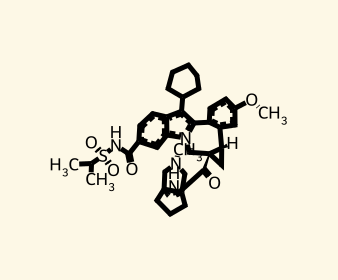 COc1ccc2c(c1)[C@@H]1C[C@]1(C(=O)C1NCC34CCCC13CN(C)C4)Cn1c-2c(C2CCCCC2)c2ccc(C(=O)NS(=O)(=O)C(C)C)cc21